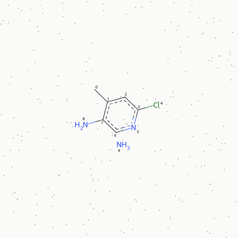 Cc1cc(Cl)ncc1N.N